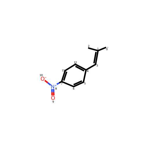 [CH2]/C(C)=C/c1ccc([N+](=O)[O-])cc1